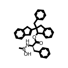 CB(O)N[C@H](Cc1ccccc1)C(=O)OC1c2ccccc2CC1(Cc1ccccc1)C1=Cc2ccccc2C1